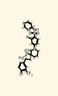 CN(C)[C@@]1(CCc2ccc(Cl)c(C(F)(F)F)c2)CCCN(c2ccc(S(=O)(=O)Nc3ccncn3)c(F)c2)C1